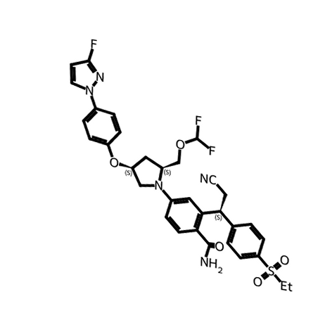 CCS(=O)(=O)c1ccc([C@H](CC#N)c2cc(N3C[C@@H](Oc4ccc(-n5ccc(F)n5)cc4)C[C@H]3COC(F)F)ccc2C(N)=O)cc1